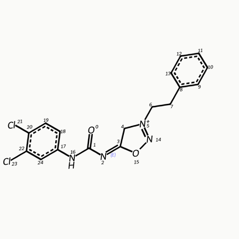 O=C(/N=C1\C[N+](CCc2ccccc2)=NO1)Nc1ccc(Cl)c(Cl)c1